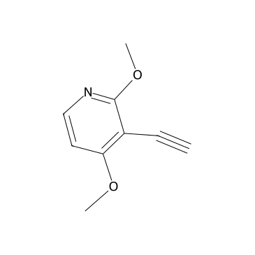 C#Cc1c(OC)ccnc1OC